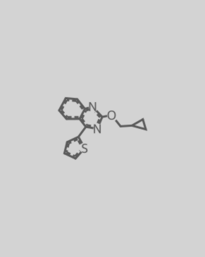 c1csc(-c2nc(OCC3CC3)nc3ccccc23)c1